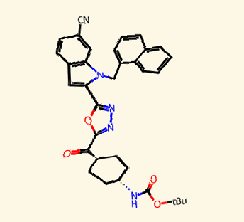 CC(C)(C)OC(=O)N[C@H]1CC[C@H](C(=O)c2nnc(-c3cc4ccc(C#N)cc4n3Cc3cccc4ccccc34)o2)CC1